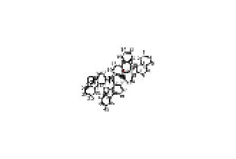 c1ccc2c(c1)CCc1c-2n(-c2ccccc2-c2ccc(N(c3ccc4oc5ccccc5c4c3)c3cccc4c3oc3ccccc34)cc2)c2ccccc12